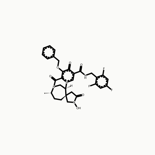 C[C@H]1CC[C@]2(CC(=O)N(O)C2)[C@H]2CN1C(=O)c1c(OCc3ccccc3)c(=O)c(C(=O)NCc3c(F)cc(F)cc3F)cn12